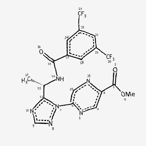 COC(=O)c1cnc(-n2ncnc2[C@H](C)NC(=O)c2cc(C(F)(F)F)cc(C(F)(F)F)c2)cn1